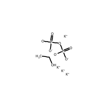 CCO.O=P([O-])([O-])OP(=O)([O-])[O-].[K+].[K+].[K+].[K+]